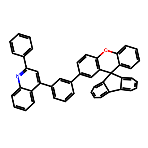 c1ccc(-c2cc(-c3cccc(-c4ccc5c(c4)C4(c6ccccc6O5)c5ccccc5-c5ccccc54)c3)c3ccccc3n2)cc1